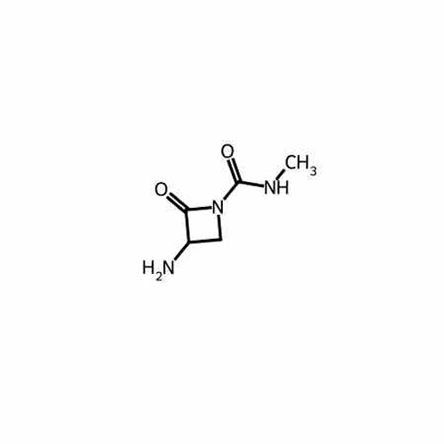 CNC(=O)N1CC(N)C1=O